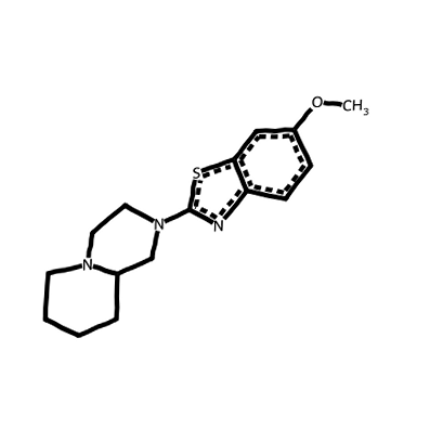 COc1ccc2nc(N3CCN4CCCCC4C3)sc2c1